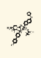 N[C@H]1CCN(C(=O)[C@H](NS(=O)(=O)c2ccc3cc(OC4CCCC4)ccc3c2)C(F)(F)c2ccc(-c3ccc(Cl)cc3)cc2)CC1(F)F.O=C(O)C(F)(F)F